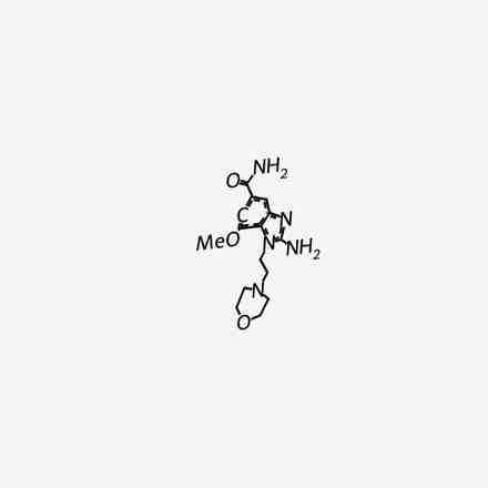 COc1cc(C(N)=O)cc2nc(N)n(CCN3CCOCC3)c12